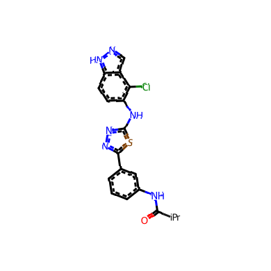 CC(C)C(=O)Nc1cccc(-c2nnc(Nc3ccc4[nH]ncc4c3Cl)s2)c1